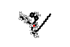 CCCCCCCCCCCCCCCC(=O)N(C)[C@H](CO)C(=O)N[C@H](C)C(=O)NCC(=O)N(C)[C@@H]1C(=O)N[C@@H](C)C(=O)N[C@H](C(=O)N[C@@H](C)C(=O)C(N)=O)Cc2ccc(O)c(c2)-c2cc1ccc2O